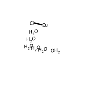 O.O.O.O.O.O.[Cl][Eu]